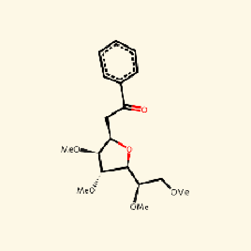 COC[C@@H](OC)[C@@H]1O[C@H](CC(=O)c2ccccc2)[C@H](OC)[C@H]1OC